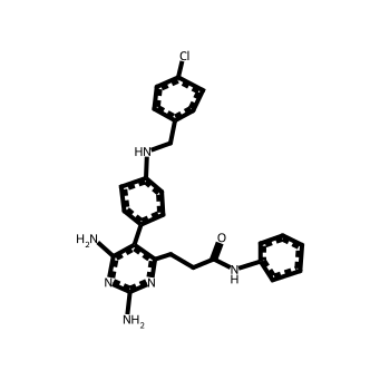 Nc1nc(N)c(-c2ccc(NCc3ccc(Cl)cc3)cc2)c(CCC(=O)Nc2ccccc2)n1